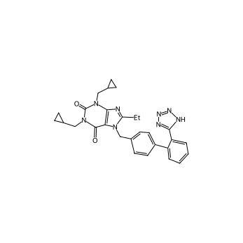 CCc1nc2c(c(=O)n(CC3CC3)c(=O)n2CC2CC2)n1Cc1ccc(-c2ccccc2-c2nnn[nH]2)cc1